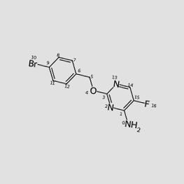 Nc1nc(OCc2ccc(Br)cc2)ncc1F